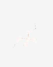 CCCCCOP(=O)(OF)OI